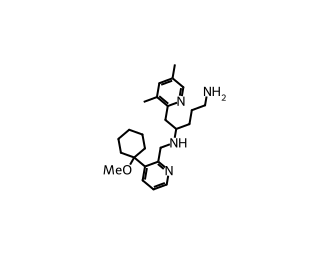 COC1(c2cccnc2CNC(CCCN)Cc2ncc(C)cc2C)CCCCC1